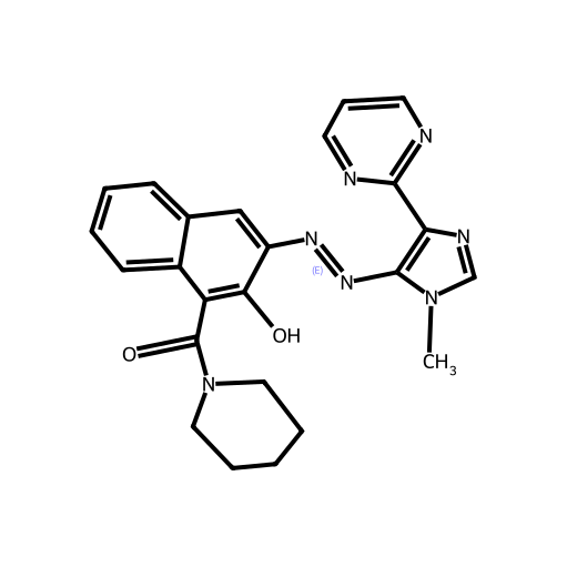 Cn1cnc(-c2ncccn2)c1/N=N/c1cc2ccccc2c(C(=O)N2CCCCC2)c1O